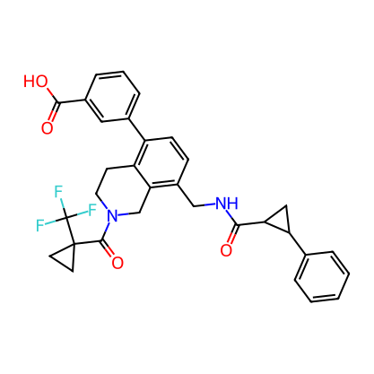 O=C(O)c1cccc(-c2ccc(CNC(=O)C3CC3c3ccccc3)c3c2CCN(C(=O)C2(C(F)(F)F)CC2)C3)c1